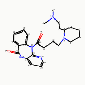 CN(C)CCC1CCCCN1CCCC(=O)N1c2ccccc2C(=O)Nc2cccnc21